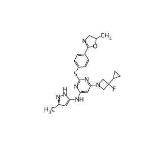 Cc1cc(Nc2cc(N3CC(F)(C4CC4)C3)nc(Sc3ccc(C4=NCC(C)O4)cc3)n2)[nH]n1